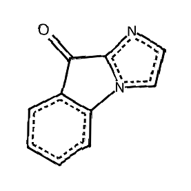 O=C1c2ccccc2-n2ccnc21